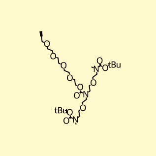 C#CCOCCOCCOCCOCCOC(=O)N(CCOCCN(C)C(=O)OC(C)(C)C)CCOCCN(C)C(=O)OC(C)(C)C